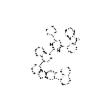 c1ccc(-c2nc(-c3ccc(-c4cccc5sc6cc7c(cc6c45)-c4cccc5cccc-7c45)c4ccccc34)nc(-c3cccc4oc5ccccc5c34)n2)cc1